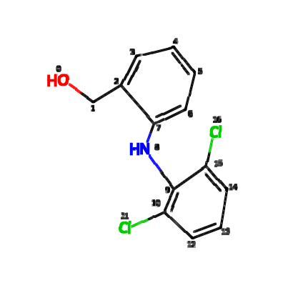 OCc1ccccc1Nc1c(Cl)cccc1Cl